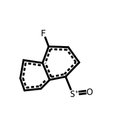 O=[S+]c1ccc(F)c2ccccc12